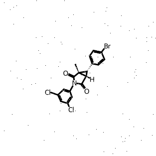 C[C@]12C(=O)N(c3cc(Cl)cc(Cl)c3)C(=O)[C@H]1[C@H]2c1ccc(Br)cc1